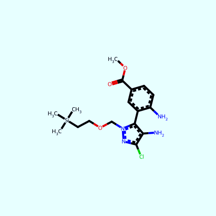 COC(=O)c1ccc(N)c(-c2c(N)c(Cl)nn2COCC[Si](C)(C)C)c1